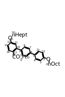 CCCCCCCCOc1ccc(-c2ccc(-c3cc(OCCCCCCC)ccc3C(=O)O)cc2)cc1